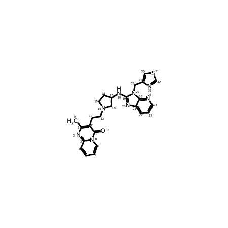 Cc1nc2ccccn2c(=O)c1CCN1CCC(Nc2nc3cccnc3n2Cc2cscn2)C1